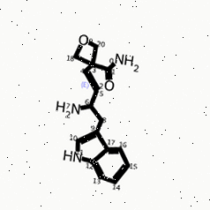 NC(=O)C1(/C=C/C(N)Cc2c[nH]c3ccccc23)COC1